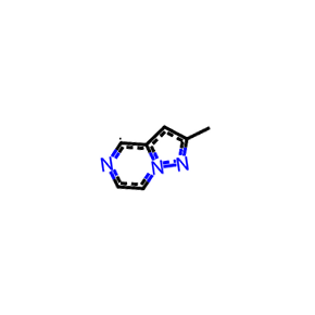 Cc1cc2[c]nccn2n1